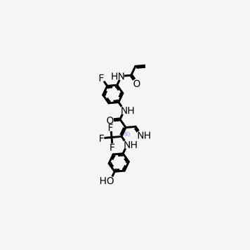 C=CC(=O)Nc1cc(NC(=O)/C(C=N)=C(/Nc2ccc(O)cc2)C(F)(F)F)ccc1F